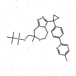 Cc1cnc(-c2ccc(C3(c4nnc5n4CCSC(C)(CO[Si](C)(C)C(C)(C)C)C5)CC3)cc2)nc1